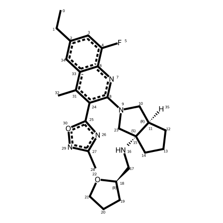 CCc1cc(F)c2nc(N3C[C@H]4CCC[C@@]4(NC[C@H]4CCCO4)C3)c(-c3nc(C)no3)c(C)c2c1